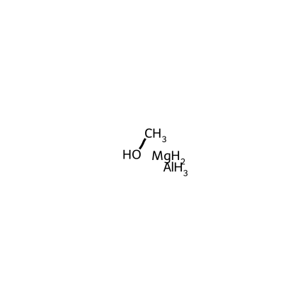 CO.[AlH3].[MgH2]